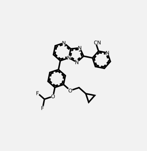 N#Cc1ncccc1-c1nc2nccc(-c3ccc(OC(F)F)c(OCC4CC4)c3)n2n1